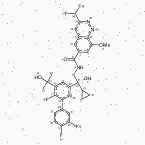 COc1cc(C(=O)NC[C@](O)(c2cc(C(C)(C)O)c(F)c(-c3ccc(F)c(F)c3)n2)C2CC2)cc2cc(C(F)F)nnc12